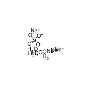 O.O.O.O.[Na+].[Na+].[Na+].[Na+].[O-][Si]([O-])([O-])[O-]